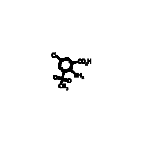 CS(=O)(=O)c1cc(Cl)cc(C(=O)O)c1N